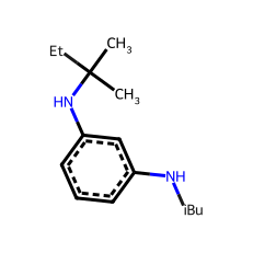 CCC(C)Nc1cccc(NC(C)(C)CC)c1